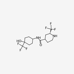 O=C(NC1CCC(O)(C(F)(F)F)CC1)C1CCN[C@H](C(F)(F)F)C1